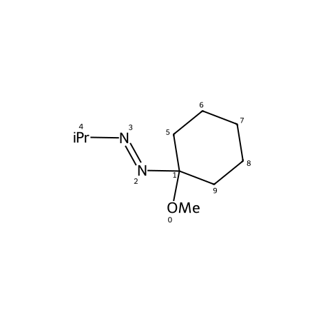 COC1(N=NC(C)C)CCCCC1